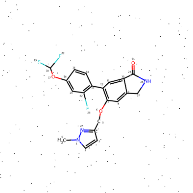 Cn1ccc(COc2cc3c(cc2-c2ccc(OC(F)F)cc2F)C(=O)NC3)n1